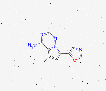 Cc1cc(-c2cnco2)n2ncnc(N)c12